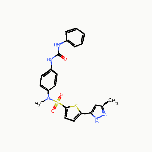 Cc1cc(-c2ccc(S(=O)(=O)N(C)c3ccc(NC(=O)Nc4ccccc4)cc3)s2)[nH]n1